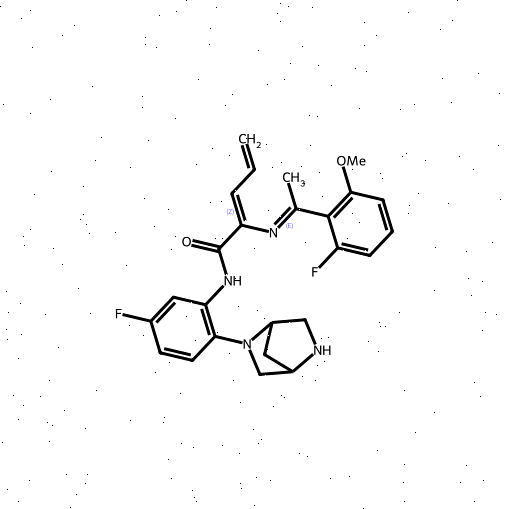 C=C/C=C(\N=C(/C)c1c(F)cccc1OC)C(=O)Nc1cc(F)ccc1N1CC2CC1CN2